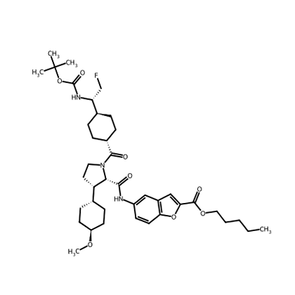 CCCCCOC(=O)c1cc2cc(NC(=O)[C@@H]3[C@H]([C@H]4CC[C@H](OC)CC4)CCN3C(=O)[C@H]3CC[C@H]([C@@H](CF)NC(=O)OC(C)(C)C)CC3)ccc2o1